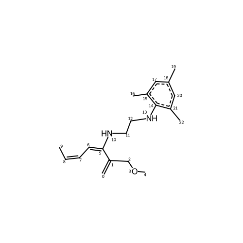 C=C(COC)/C(=C\C=C/C)NCCNc1c(C)cc(C)cc1C